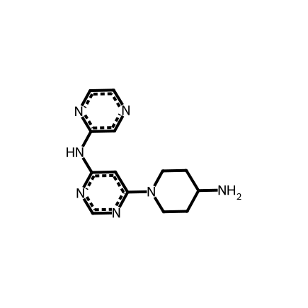 NC1CCN(c2cc(Nc3cnccn3)ncn2)CC1